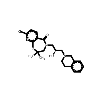 CC1(C)CN(C[C@H](O)CN2CCc3ccccc3C2)C(=O)c2ccc(Cl)nc2O1